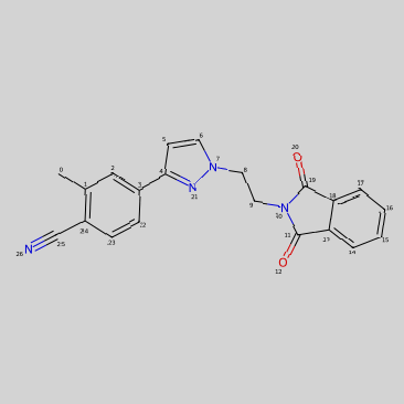 Cc1cc(-c2ccn(CCN3C(=O)c4ccccc4C3=O)n2)ccc1C#N